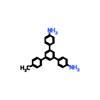 Cc1ccc(-c2cc(-c3ccc(N)cc3)cc(-c3ccc(N)cc3)c2)cc1